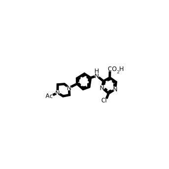 CC(=O)N1CCN(c2ccc(Nc3nc(Cl)ncc3C(=O)O)cc2)CC1